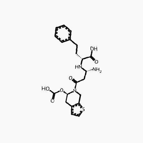 N[C@H](CC(=O)N1Cc2sccc2C[C@H]1OC(=O)O)N[C@H](CCc1ccccc1)C(=O)O